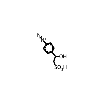 N#[N+]c1ccc(C(O)CS(=O)(=O)O)cc1